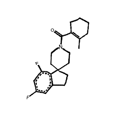 CC1=C(C(=O)N2CCC3(CCc4cc(F)cc(F)c43)CC2)CCCC1